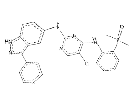 CP(C)(=O)c1ccccc1Nc1nc(Nc2ccc3[nH]nc(-c4cc[c]cc4)c3c2)ncc1Cl